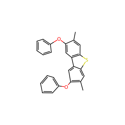 Cc1cc2sc3cc(C)c(Oc4ccccc4)cc3c2cc1Oc1ccccc1